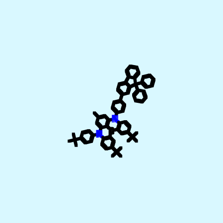 Cc1cc2c3c(c1)N(c1ccc(C(C)(C)C)cc1)c1ccc(C(C)(C)C)cc1B3c1cc(C(C)(C)C)ccc1N2c1ccc(-c2ccc3c(c2)C(c2ccccc2)(c2ccccc2)c2ccccc2-3)cc1